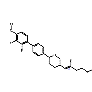 CCOc1ccc(-c2ccc(C3CCC(/C=C(\F)CCCF)CO3)cc2)c(F)c1F